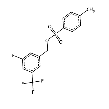 Cc1ccc(S(=O)(=O)OCc2cc(F)cc(C(F)(F)F)c2)cc1